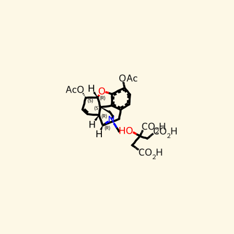 CC(=O)Oc1ccc2c3c1O[C@H]1[C@@H](OC(C)=O)C=C[C@H]4[C@@H](C2)N(C)CC[C@@]341.O=C(O)CC(O)(CC(=O)O)C(=O)O